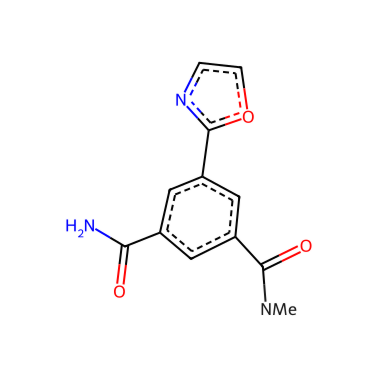 CNC(=O)c1cc(C(N)=O)cc(-c2ncco2)c1